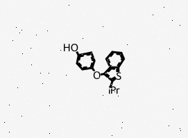 CC(C)c1sc2ccccc2c1Oc1ccc(O)cc1